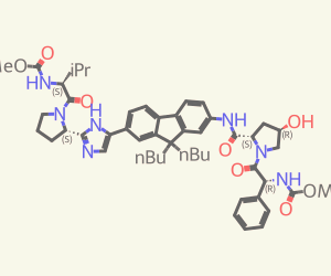 CCCCC1(CCCC)c2cc(NC(=O)[C@@H]3C[C@@H](O)CN3C(=O)[C@H](NC(=O)OC)c3ccccc3)ccc2-c2ccc(-c3cnc([C@@H]4CCCN4C(=O)[C@@H](NC(=O)OC)C(C)C)[nH]3)cc21